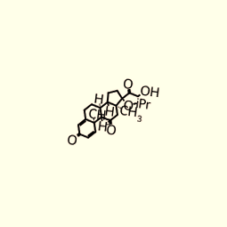 CC(C)O[C@]1(C(=O)CO)CC[C@H]2[C@@H]3CCC4=CC(=O)C=C[C@]4(C)[C@H]3C(=O)C[C@@]21C